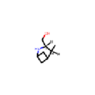 C[C@@H]1C2CC(C2)N[C@@H]1CO